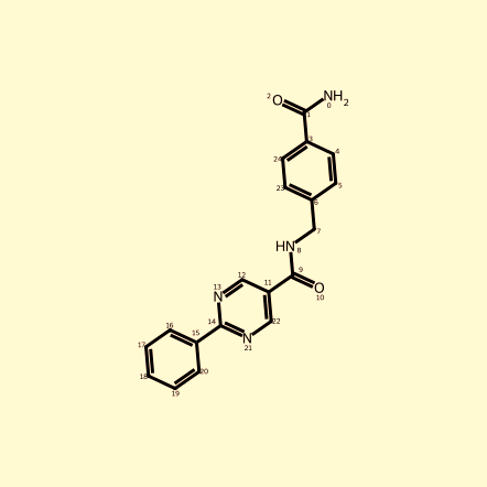 NC(=O)c1ccc(CNC(=O)c2cnc(-c3ccccc3)nc2)cc1